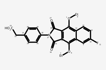 CCOc1c2c(c(OCC)c3cc(F)ccc13)C(=O)N(c1ccc(CC(=O)O)cc1)C2=O